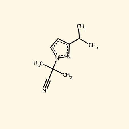 CC(C)c1ccn(C(C)(C)C#N)n1